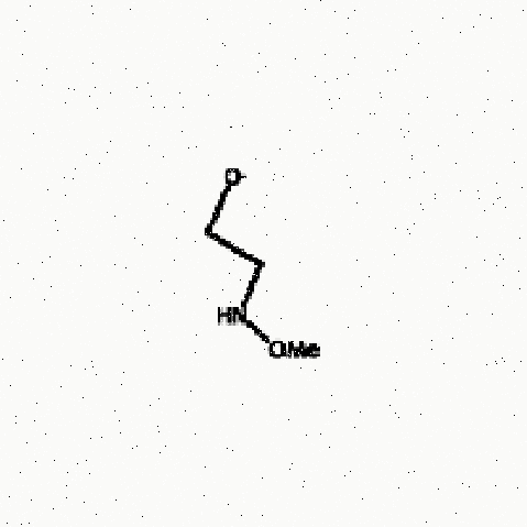 CONCC[O]